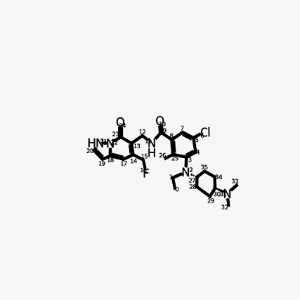 CCN(c1cc(Cl)cc(C(=O)NCc2c(CF)cc3cc[nH]n3c2=O)c1C)[C@H]1CC[C@H](N(C)C)CC1